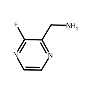 NCc1nccnc1F